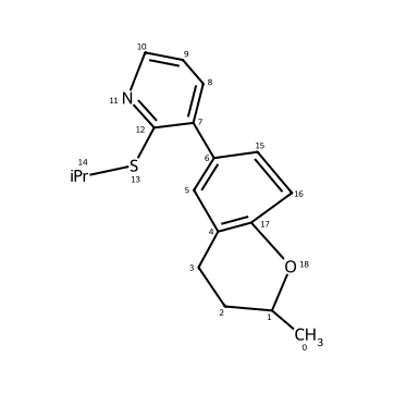 CC1CCc2cc(-c3cccnc3SC(C)C)ccc2O1